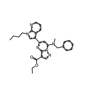 CCCCn1cc(-c2cc(N(C)Cc3ccccc3)n3ncc(C(=O)OCC)c3n2)c2cccnc21